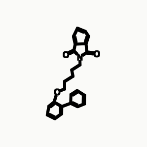 O=C1c2ccccc2C(=O)N1CCCCCOc1ccccc1-c1ccccc1